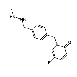 CNNCc1ccc(Cn2cc(F)ccc2=O)cc1